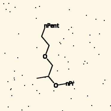 C[CH]COC(C)COCCCCCCC